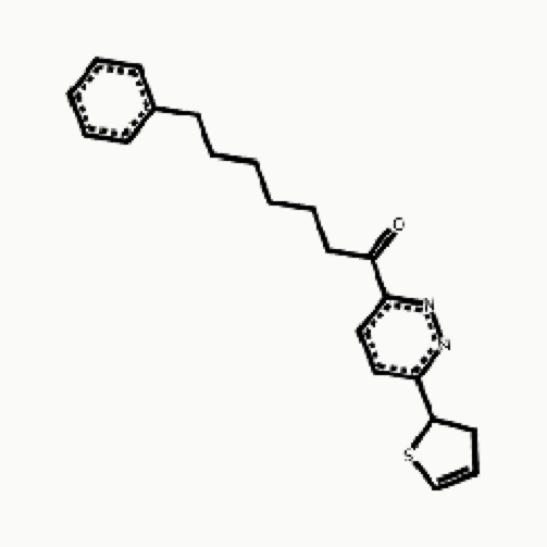 O=C(CCCCCCc1ccccc1)c1ccc(C2CC=CS2)nn1